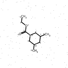 CCOC(=O)N1CC(C)CC(C)C1